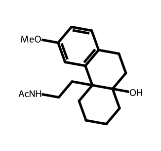 COc1ccc2c(c1)C1(CCNC(C)=O)CCCCC1(O)CC2